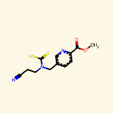 COC(=O)c1ccc(CN(CCC#N)C(=S)S)cn1